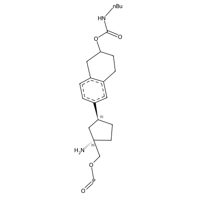 CCCCNC(=O)OC1CCc2cc([C@H]3CC[C@@](N)(COP=O)C3)ccc2C1